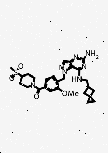 COc1cc(C(=O)N2CCC(S(C)(=O)=O)CC2)ccc1Cn1ncc2nc(N)nc(NCC3CC4(CC4)C3)c21